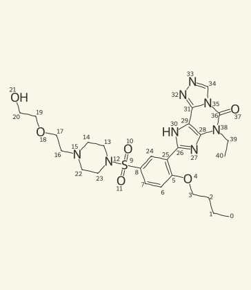 CCCCOc1ccc(S(=O)(=O)N2CCN(CCOCCO)CC2)cc1-c1nc2c([nH]1)c1nncn1c(=O)n2CC